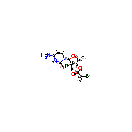 CC[C@H]1OC(n2ccc(N)nc2=O)C(F)(F)[C@H]1OC(=O)C(C)Br